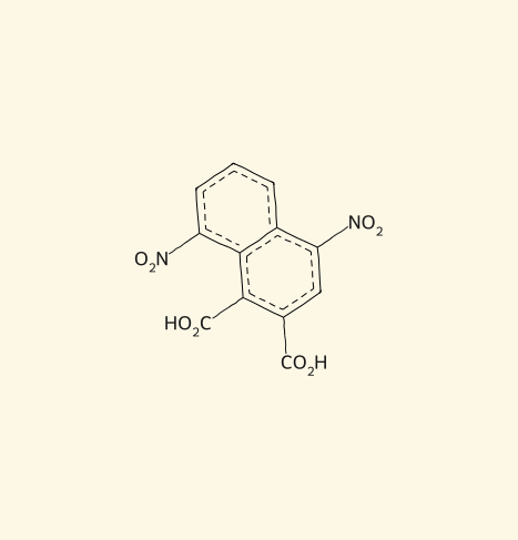 O=C(O)c1cc([N+](=O)[O-])c2cccc([N+](=O)[O-])c2c1C(=O)O